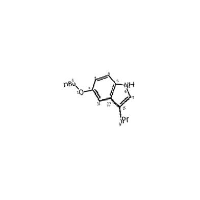 CCCCOc1ccc2[nH]cc(C(C)C)c2c1